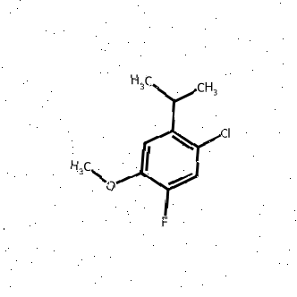 COc1cc(C(C)C)c(Cl)cc1F